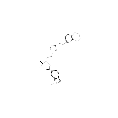 Cn1ncc2ccc(C(=O)N[C@@H](CCN3CC[C@H](CCc4ccc5c(n4)NCCC5)C3)C(=O)O)cc21